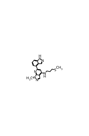 CSCCCNc1cc(-c2cccc3[nH]ncc23)nc2c1cnn2C